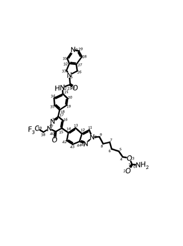 NC(=O)OCCCCCCn1cc2cc(-c3cc(-c4ccc(NC(=O)N5Cc6ccncc6C5)cc4)nn(CC(F)(F)F)c3=O)ccc2n1